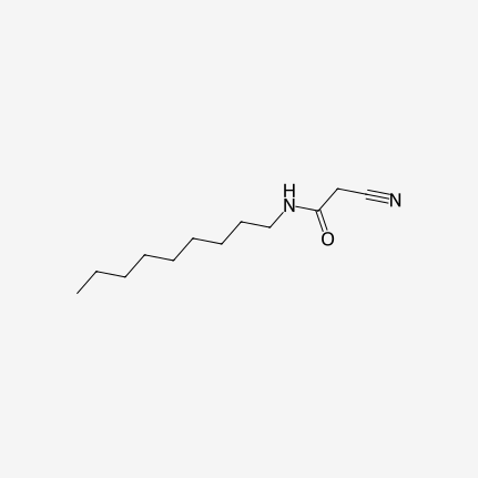 CCCCCCCCCNC(=O)CC#N